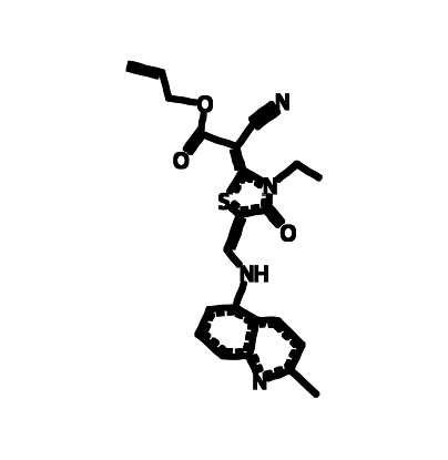 C=CCOC(=O)C(C#N)=c1sc(=CNc2cccc3nc(C)ccc23)c(=O)n1CC